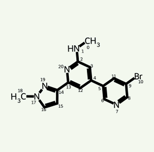 CNc1cc(-c2cncc(Br)c2)cc(-c2ccn(C)n2)n1